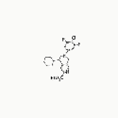 CCOC(=O)c1cc2c(cn1)CN(c1cc(F)c(Cl)c(F)c1)CC2C1CCCCC1